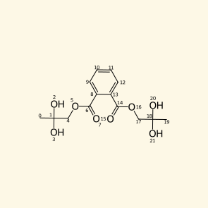 CC(O)(O)COC(=O)c1ccccc1C(=O)OCC(C)(O)O